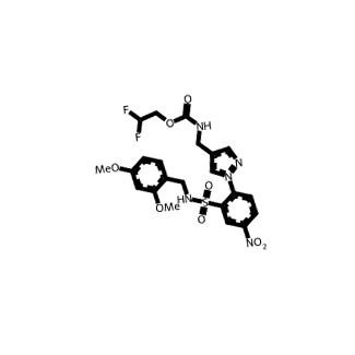 COc1ccc(CNS(=O)(=O)c2cc([N+](=O)[O-])ccc2-n2cc(CNC(=O)OCC(F)F)cn2)c(OC)c1